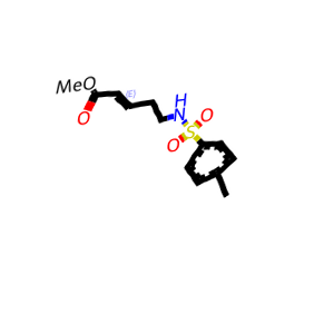 COC(=O)/C=C/CCNS(=O)(=O)c1ccc(C)cc1